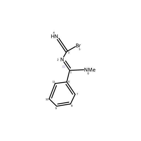 CN/C(=N\C(=N)Br)c1ccccc1